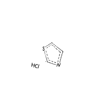 Cl.[c]1nccs1